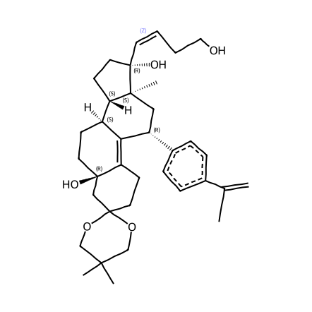 C=C(C)c1ccc([C@H]2C[C@@]3(C)[C@@H](CC[C@@]3(O)/C=C\CCO)[C@@H]3CC[C@@]4(O)CC5(CCC4=C32)OCC(C)(C)CO5)cc1